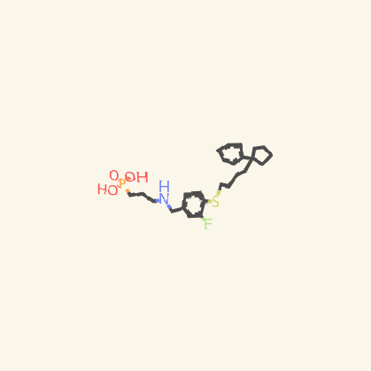 O=P(O)(O)CCCNCc1ccc(SCCCCC2(c3ccccc3)CCCC2)c(F)c1